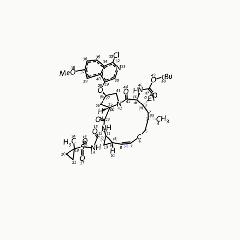 CC[C@@H]1C[C@H](C)CC/C=C\[C@@H]2C[C@@]2(C(=O)NS(=O)(=O)C2(C)CC2)NC(=O)[C@@H]2C[C@@H](Oc3cnc(Cl)c4ccc(OC)cc34)CN2C(=O)[C@H]1NC(=O)OC(C)(C)C